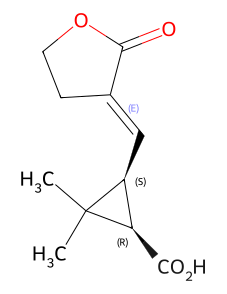 CC1(C)[C@H](C(=O)O)[C@@H]1/C=C1\CCOC1=O